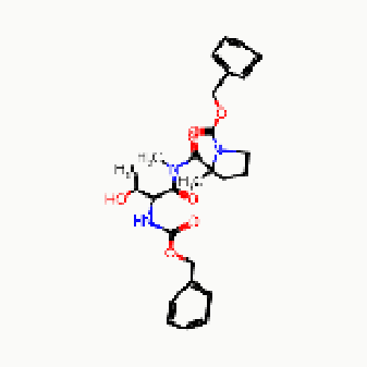 CC(O)C(NC(=O)OCc1ccccc1)C(=O)N(C)C(=O)C1(C)CCCN1C(=O)OCc1ccccc1